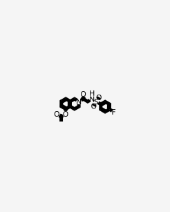 CC(=O)Oc1cccc2c1CCN(C(=O)CNS(=O)(=O)c1ccc(F)cc1)C2